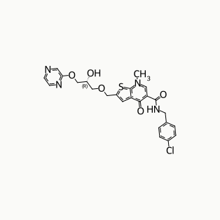 Cn1cc(C(=O)NCc2ccc(Cl)cc2)c(=O)c2cc(COC[C@@H](O)COc3cnccn3)sc21